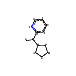 CC(c1ccccn1)C1CCCC1